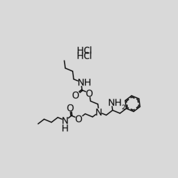 CCCCNC(=O)OCCN(CCOC(=O)NCCCC)CC(N)Cc1ccccc1.Cl.Cl